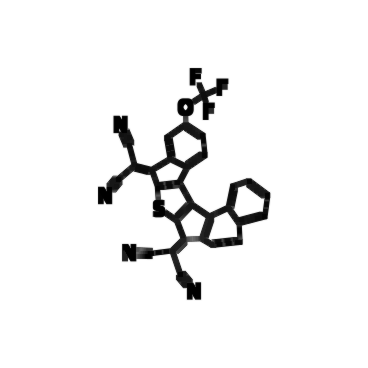 N#CC(C#N)=C1c2cc(OC(F)(F)F)ccc2-c2c1sc1c2-c2c(ccc3ccccc23)C1=C(C#N)C#N